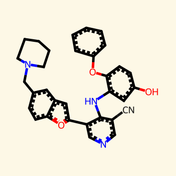 N#Cc1cncc(-c2cc3cc(CN4CCCCC4)ccc3o2)c1Nc1cc(O)ccc1Oc1ccccc1